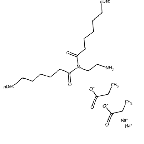 CCC(=O)[O-].CCC(=O)[O-].CCCCCCCCCCCCCCCC(=O)N(CCN)C(=O)CCCCCCCCCCCCCCC.[Na+].[Na+]